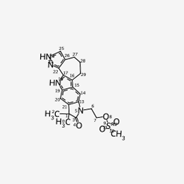 CC1(C)C(=O)N(CCOS(C)(=O)=O)c2cc3c4c([nH]c3cc21)-c1n[nH]cc1CCC4